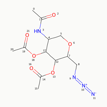 CC(=O)NC1COC(CN=[N+]=[N-])C(OC(C)=O)C1OC(C)=O